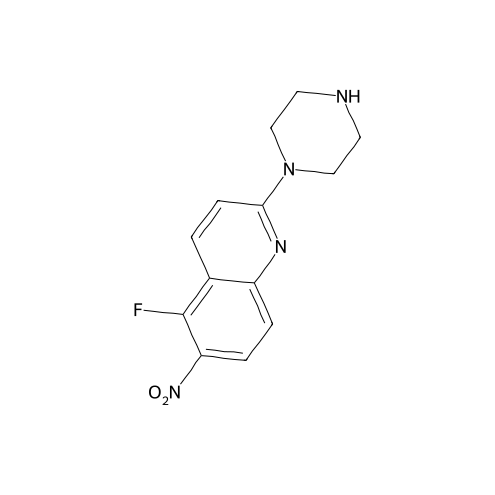 O=[N+]([O-])c1ccc2nc(N3CCNCC3)ccc2c1F